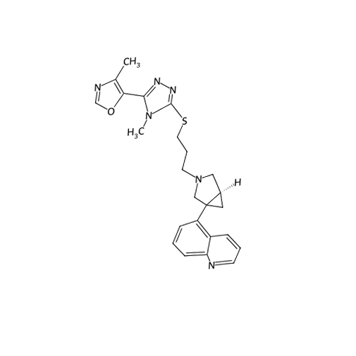 Cc1ncoc1-c1nnc(SCCCN2C[C@H]3CC3(c3cccc4ncccc34)C2)n1C